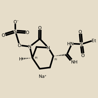 CCS(=O)(=O)NC(=N)[C@@H]1CC[C@@H]2CN1C(=O)N2OS(=O)(=O)[O-].[Na+]